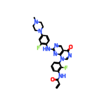 C=CC(=O)Nc1cccc(-n2cnc(=O)c3cnc(Nc4ccc(N5CCN(C)CC5)cc4F)nc32)c1F